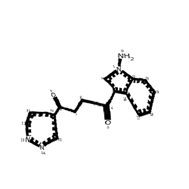 Nn1cc(C(=O)CCC(=O)c2ccnnc2)c2ccccc21